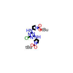 CC(C)(C)OC(=O)N1CC[C@@H](Nc2nc(Cl)nc(N[C@@H]3CCN(C(=O)OC(C)(C)C)C3)n2)C1